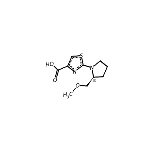 COC[C@@H]1CCCN1c1nc(C(=O)O)cs1